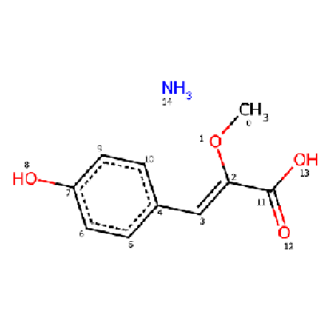 CO/C(=C\c1ccc(O)cc1)C(=O)O.N